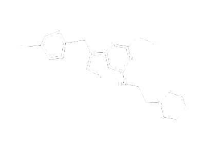 CCCCOc1nc(NCCN2CCOCC2)c2ncn(Cc3ccc(C(C)=O)cc3)c2n1